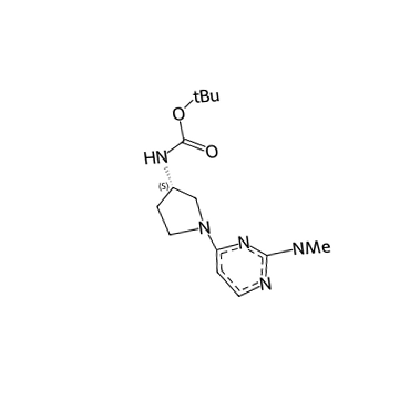 CNc1nccc(N2CC[C@H](NC(=O)OC(C)(C)C)C2)n1